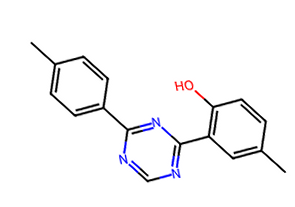 Cc1ccc(-c2ncnc(-c3cc(C)ccc3O)n2)cc1